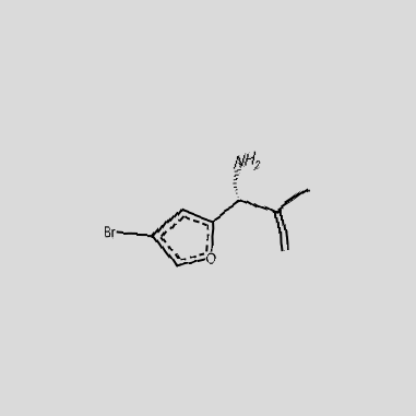 C=C(C)[C@@H](N)c1cc(Br)co1